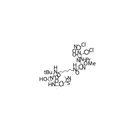 COc1ncc(C(=O)NCCCCCCC(=O)N[C@H](C(=O)N2C[C@H](O)C[C@H]2C(=O)N[C@@H](C)c2ccc(-c3scnc3C)cc2)C(C)(C)C)cc1-c1nc2c(n1C(C)C)[C@H](c1ccc(Cl)cc1)N(c1cc(Cl)cn(C)c1=O)C2=O